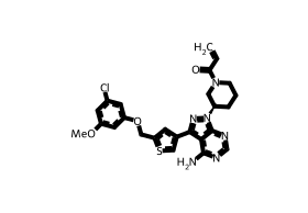 C=CC(=O)N1CCC[C@@H](n2nc(-c3csc(COc4cc(Cl)cc(OC)c4)c3)c3c(N)ncnc32)C1